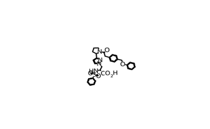 O=C(O)C(Cn1ccc(C2CCCN2C(=O)Cc2ccc(COc3ccccc3)cc2)n1)NS(=O)(=O)c1ccccc1